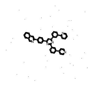 c1ccc(-c2cccc(-c3cc(-c4ccc(-c5cc6ccccc6cn5)cc4)nc(-c4cccc(-c5ccncc5)c4)n3)c2)nc1